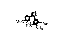 COc1ccc(-c2cnoc2-c2cc(C)c(C)c(OC)c2)cc1C(=O)O